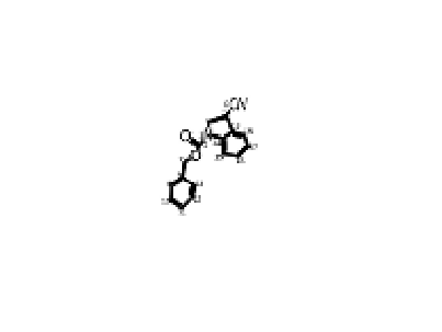 N#Cc1cn(C(=O)OCc2ccccc2)c2ccccc12